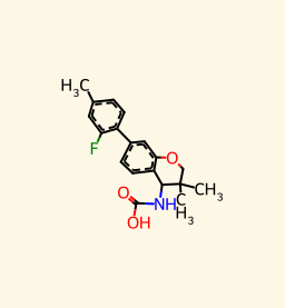 Cc1ccc(-c2ccc3c(c2)OCC(C)(C)C3NC(=O)O)c(F)c1